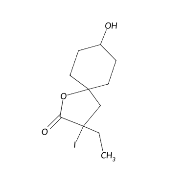 CCC1(I)CC2(CCC(O)CC2)OC1=O